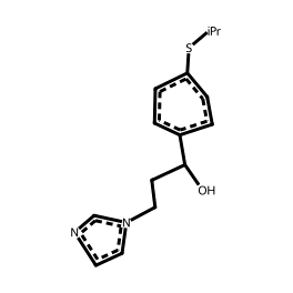 CC(C)Sc1ccc(C(O)CCn2ccnc2)cc1